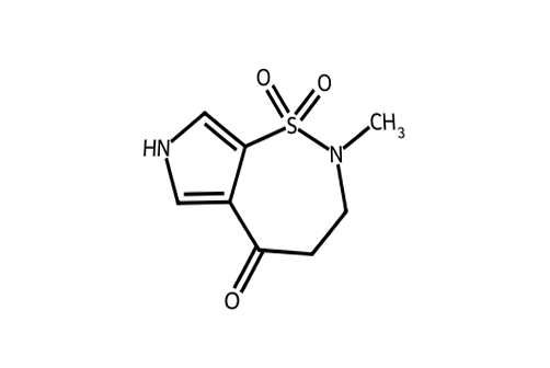 CN1CCC(=O)c2c[nH]cc2S1(=O)=O